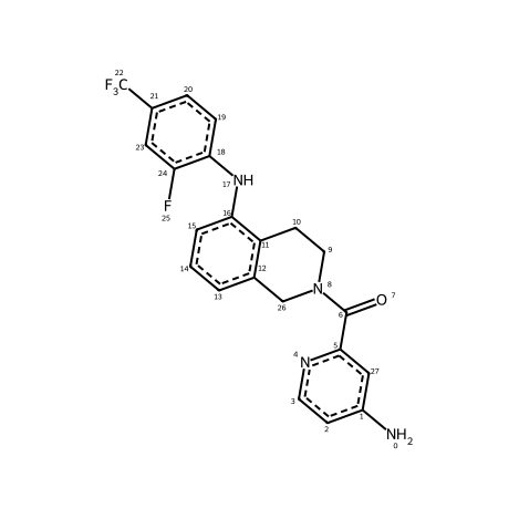 Nc1ccnc(C(=O)N2CCc3c(cccc3Nc3ccc(C(F)(F)F)cc3F)C2)c1